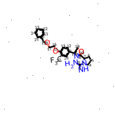 N=C(N)N1CCCC1c1nc(-c2ccc(OCCOCc3ccccc3)c(C(F)(F)F)c2)co1